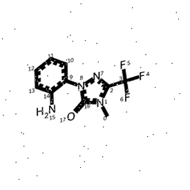 Cn1c(C(F)(F)F)nn(-c2ccccc2N)c1=O